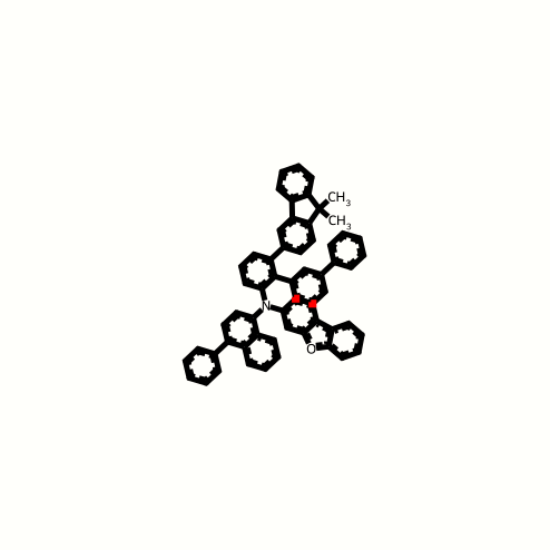 CC1(C)c2ccccc2-c2cc(-c3cccc(N(c4ccc5c(c4)oc4ccccc45)c4ccc(-c5ccccc5)c5ccccc45)c3-c3cccc(-c4ccccc4)c3)ccc21